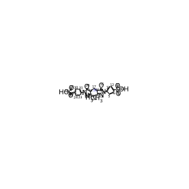 CC1=NN(c2ccc(S(=O)(=O)O)cc2)C(=O)/C1=C/C1C(=O)N(c2ccc(S(=O)(=O)O)cc2)N=C1C